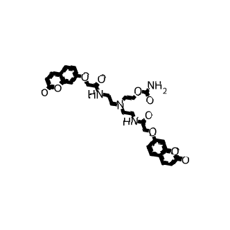 NC(=O)OCCN(CCNC(=O)COc1ccc2ccc(=O)oc2c1)CCNC(=O)COc1ccc2ccc(=O)oc2c1